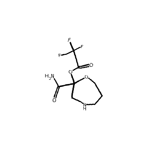 NC(=O)C1(OC(=O)C(F)(F)F)CNCCCO1